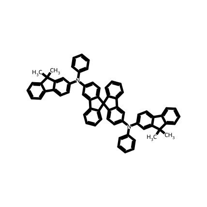 CC1(C)c2ccccc2-c2ccc(N(c3ccccc3)c3ccc4c(c3)-c3ccccc3C43c4ccccc4-c4cc(N(c5ccccc5)c5ccc6c(c5)C(C)(C)c5ccccc5-6)ccc43)cc21